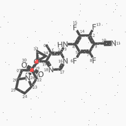 Cc1c(Nc2c(F)c(F)c(C#N)c(F)c2F)ncnc1OC1CC2CCC(C1)N2S(=O)(=O)C1CC1